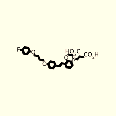 O=C(O)CCCN1CC(C(=O)O)Oc2c(/C=C/c3ccc(OCCCCOc4ccc(F)cc4)cc3)cccc21